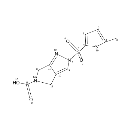 Cc1ccc(S(=O)(=O)n2cc3c(n2)CN(C(=O)O)C3)s1